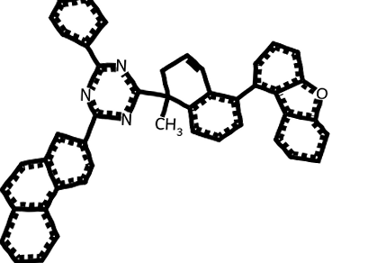 CC1(c2nc(-c3ccccc3)nc(-c3ccc4c(ccc5ccccc54)c3)n2)CC=Cc2c(-c3cccc4oc5ccccc5c34)cccc21